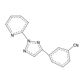 N#Cc1cccc(-c2cnn(-c3ccccn3)n2)c1